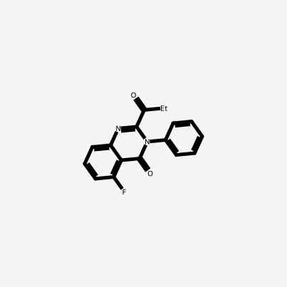 CCC(=O)c1nc2cccc(F)c2c(=O)n1-c1ccccc1